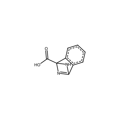 O=C(O)C12N=C(N1)c1ccccc12